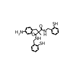 CC(Cc1ccc(N)cc1)(C(=O)NCc1ccccc1S)C(=O)NCc1ccccc1S